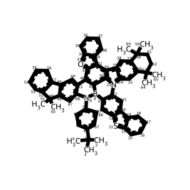 CC(C)(C)c1ccc(N2B3c4cc5sc6ccccc6c5cc4-n4c5cc6c(cc5c5c7c(oc8ccccc87)c(c3c54)-c3cc4c(cc32)C(C)(C)c2ccccc2-4)C(C)(C)CCC6(C)C)cc1